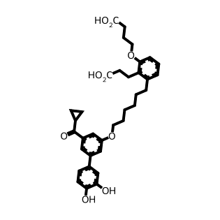 O=C(O)CCCOc1cccc(CCCCCCOc2cc(C(=O)C3CC3)cc(-c3ccc(O)c(O)c3)c2)c1CCC(=O)O